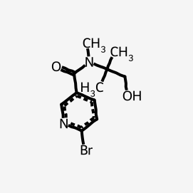 CN(C(=O)c1ccc(Br)nc1)C(C)(C)CO